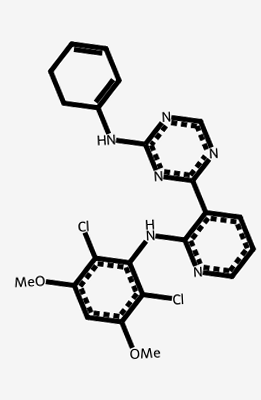 COc1cc(OC)c(Cl)c(Nc2ncccc2-c2ncnc(NC3=CC=CCC3)n2)c1Cl